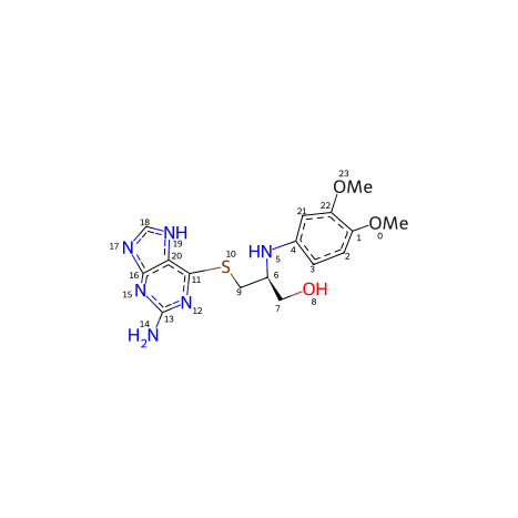 COc1ccc(N[C@@H](CO)CSc2nc(N)nc3nc[nH]c23)cc1OC